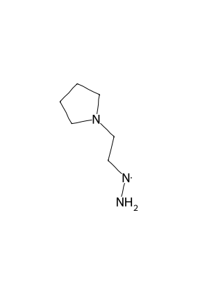 N[N]CCN1CCCC1